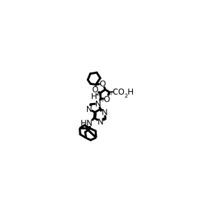 O=C(O)[C@H]1O[C@@H](n2cnc3c(NC45CC6CC(CC(C6)C4)C5)ncnc32)[C@H]2OC3(CCCCC3)OC12